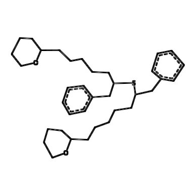 c1ccc(CC(CCCCCC2CCCCO2)SC(CCCCCC2CCCCO2)Cc2ccccc2)cc1